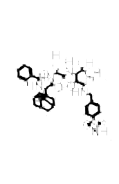 CC(C)[C@H](NC(=O)[C@H](C)NC(=O)[C@@H](NC(=O)c1ccccc1)C12CC3CC(CC(C3)C1)C2)C(=O)C(=O)NCc1ccc(S(N)(=O)=O)cc1